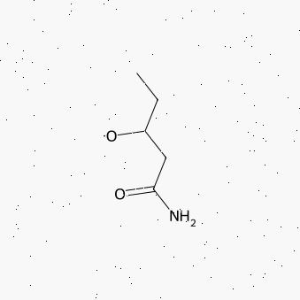 CCC([O])CC(N)=O